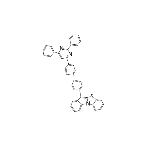 c1ccc(-c2cc(-c3ccc(-c4ccc(-c5c6ccccc6n6c5sc5ccccc56)cc4)cc3)nc(-c3ccccc3)n2)cc1